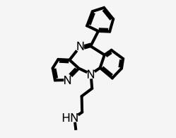 CNCCCN1c2ccccc2C(c2ccccc2)=Nc2cccnc21